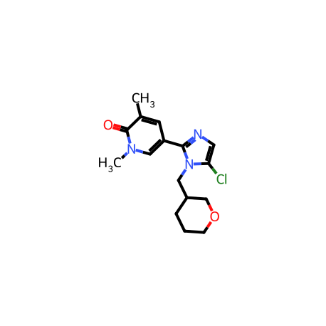 Cc1cc(-c2ncc(Cl)n2CC2CCCOC2)cn(C)c1=O